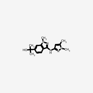 Cc1cc(Nc2nn(C)c3cc(C(C)(C)O)ccc23)nn1C